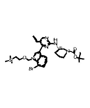 C=Cc1cnc(N[C@H]2CCCN(C(=O)OC(C)(C)C)C2)nc1-c1cn(COCC[Si](C)(C)C)c2c(Br)cccc12